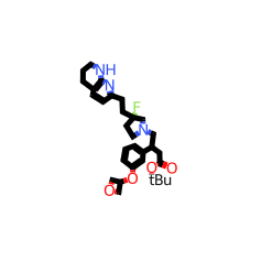 CC(C)(C)OC(=O)CC(CN1CCC(F)(CCc2ccc3c(n2)NCCC3)C1)c1cccc(OC2COC2)c1